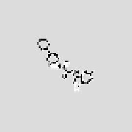 Cc1ccc2[nH]cc(NC(=O)C(=O)Nc3ccc(C4CCCCC4)cn3)c2n1